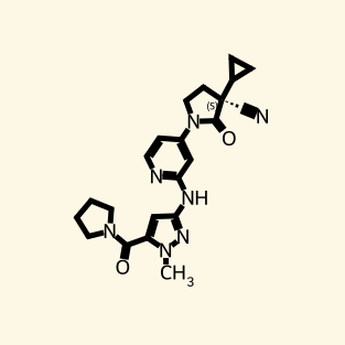 Cn1nc(Nc2cc(N3CC[C@@](C#N)(C4CC4)C3=O)ccn2)cc1C(=O)N1CCCC1